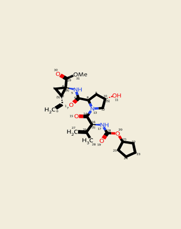 C=C[C@@H]1C[C@]1(NC(=O)C1C[C@H](O)CN1C(=O)[C@@H](NC(=O)OC1CCCC1)C(=C)C)C(=O)OC